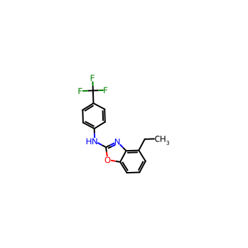 CCc1cccc2oc(Nc3ccc(C(F)(F)F)cc3)nc12